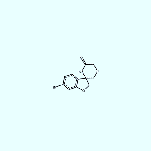 O=C1COCC2(COc3cc(Br)ccc32)N1